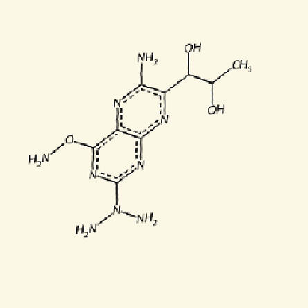 CC(O)C(O)c1nc2nc(N(N)N)nc(ON)c2nc1N